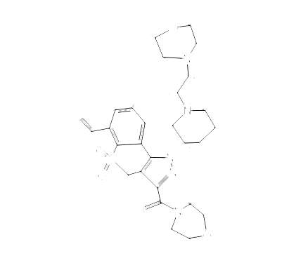 C=Cc1cccc2c1S(=O)(=O)Cc1c(C(=O)N3CCOCC3)nn([C@H]3CCCN(CCN4CCOCC4)C3)c1-2